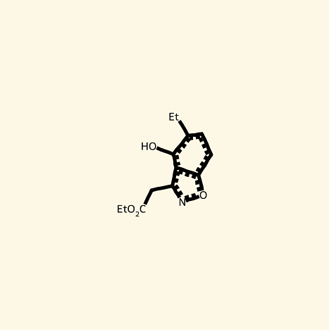 CCOC(=O)Cc1noc2ccc(CC)c(O)c12